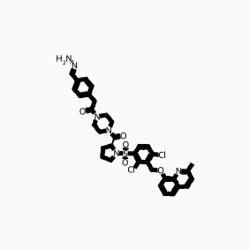 Cc1ccc2cccc(OCc3c(Cl)ccc(S(=O)(=O)N4CCC[C@H]4C(=O)N4CCN(C(=O)Cc5ccc(C=NN)cc5)CC4)c3Cl)c2n1